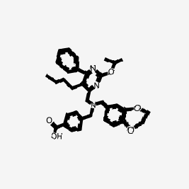 CCCCc1c(CN(Cc2ccc(C(=O)O)cc2)Cc2ccc3c(c2)OCCO3)nc(OC(C)C)nc1-c1ccccc1